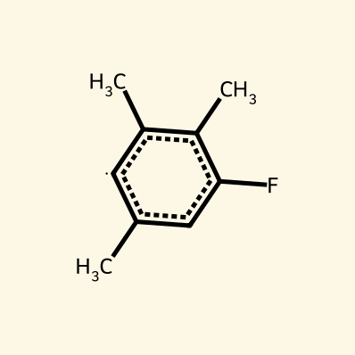 Cc1[c]c(C)c(C)c(F)c1